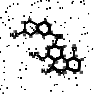 COc1nc(Nc2ccc3c(c2)CN(C)CC3)nc(-c2c(Cl)cccc2Cl)c1C(N)=O